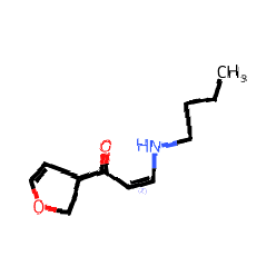 CCCCN/C=C\C(=O)C1C=COC1